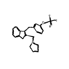 FC(F)(F)Oc1cccc(CC2c3ccccc3C[C@@H]2CN2CCCC2)c1